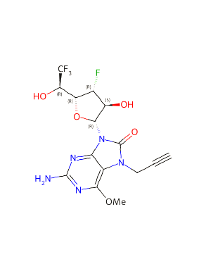 C#CCn1c(=O)n([C@@H]2O[C@H]([C@@H](O)C(F)(F)F)[C@H](F)[C@H]2O)c2nc(N)nc(OC)c21